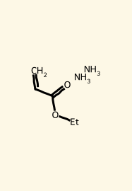 C=CC(=O)OCC.N.N